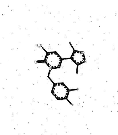 Cc1noc(C)c1-c1cc(N)c(=O)n(Cc2ccc(F)c(F)c2)c1